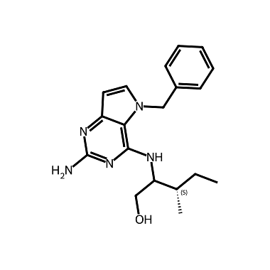 CC[C@H](C)C(CO)Nc1nc(N)nc2ccn(Cc3ccccc3)c12